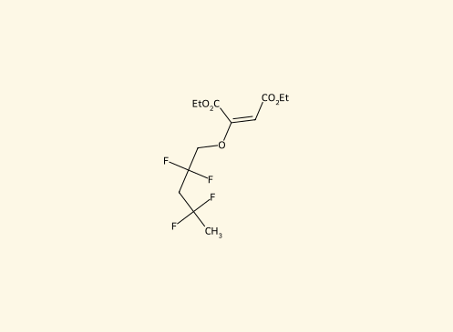 CCOC(=O)/C=C(/OCC(F)(F)CC(C)(F)F)C(=O)OCC